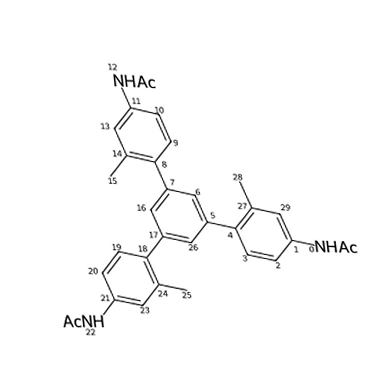 CC(=O)Nc1ccc(-c2cc(-c3ccc(NC(C)=O)cc3C)cc(-c3ccc(NC(C)=O)cc3C)c2)c(C)c1